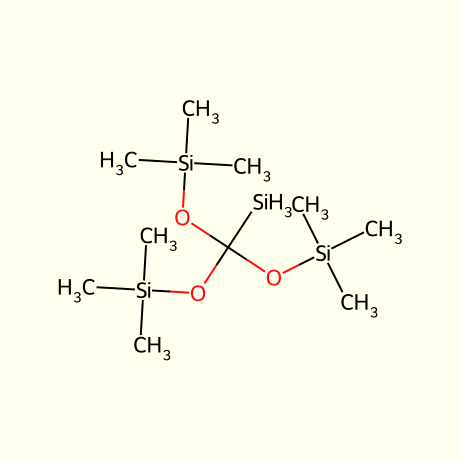 C[Si](C)(C)OC([SiH3])(O[Si](C)(C)C)O[Si](C)(C)C